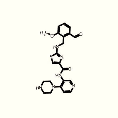 COc1cccc(C=O)c1CNc1nc(C(=O)Nc2cnccc2N2CCNCC2)cs1